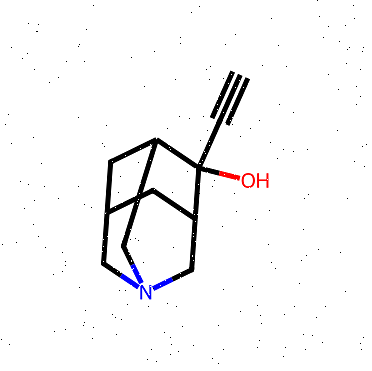 C#CC1(O)C2CC3CC1CN(C3)C2